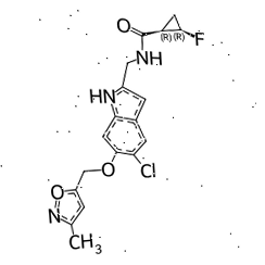 Cc1cc(COc2cc3[nH]c(CNC(=O)[C@H]4C[C@H]4F)cc3cc2Cl)on1